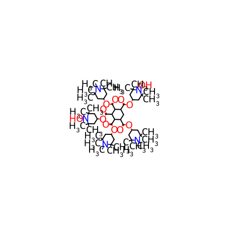 CN1C(C)(C)CC(OC(=O)C2CC(C(=O)OC3CC(C)(C)N(O)C(C)(C)C3)C(C(=O)OC3CC(C)(C)N(C)C(C)(C)C3)C(C(=O)OC3CC(C)(C)N(O)C(C)(C)C3)C2C(=O)OC2CC(C)(C)N(C)C(C)(C)C2)CC1(C)C